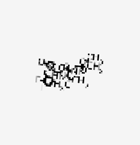 CC(C)OC(=O)CNC(=O)[C@@H](NC(=O)C[C@@H]1CCC(=O)N1Cc1cccc(F)c1F)C(C)C